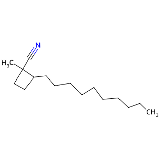 CCCCCCCCCCC1CCC1(C)C#N